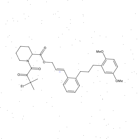 CCC(C)(C)C(=O)C(=O)N1CCCCC1C(=O)OC/C=C/c1ccccc1CCCc1cc(OC)ccc1OC